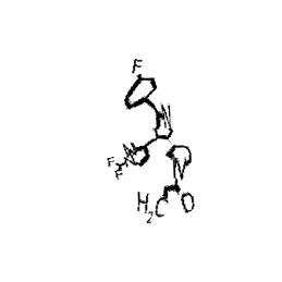 C=CC(=O)N1CC[C@@H](c2cnc(-c3ccc(F)cc3)cc2-c2ccn(C(F)F)n2)C1